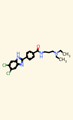 CCN(CC)CCCNC(=O)c1ccc(-c2nc3cc(Cl)c(Cl)cc3[nH]2)cc1